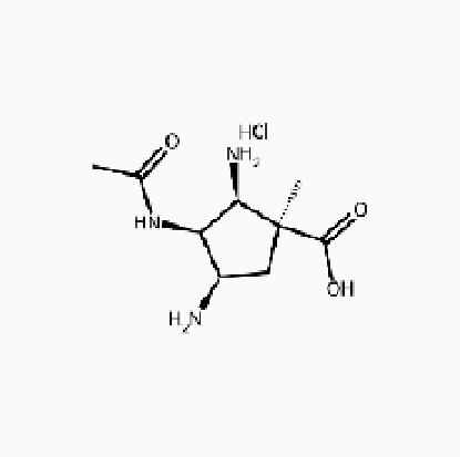 CC(=O)N[C@@H]1[C@H](N)C[C@](C)(C(=O)O)[C@@H]1N.Cl